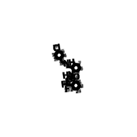 O=S(=O)(Nc1ccccc1CNCc1ccc(Cl)cc1)c1ccccc1C(F)(F)F